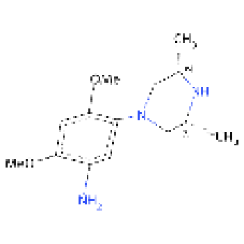 COc1cc(OC)c(N2C[C@@H](C)N[C@@H](C)C2)cc1N